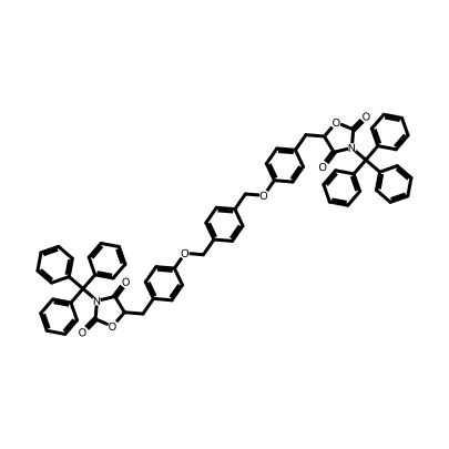 O=C1OC(Cc2ccc(OCc3ccc(COc4ccc(CC5OC(=O)N(C(c6ccccc6)(c6ccccc6)c6ccccc6)C5=O)cc4)cc3)cc2)C(=O)N1C(c1ccccc1)(c1ccccc1)c1ccccc1